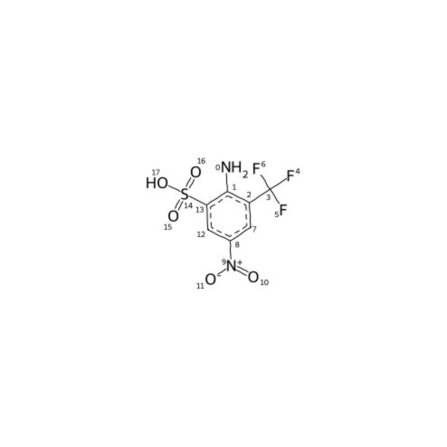 Nc1c(C(F)(F)F)cc([N+](=O)[O-])cc1S(=O)(=O)O